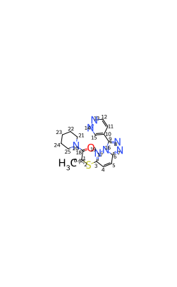 C[C@@H](Sc1ccc2nnc(-c3ccnnc3)n2n1)C(=O)N1CCCCC1